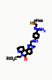 CCCCCC[SH]=CN=C(N)c1ccc(NCc2nc3cc(C(=O)N(CCC(=O)OCC)c4ccccn4)ccc3n2C)cc1